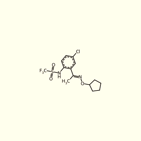 CC(=NOC1CCCC1)c1cc(Cl)ccc1NS(=O)(=O)C(F)(F)F